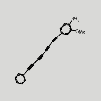 COc1cc(C#CC#CC#CC#Cc2ccccc2)ccc1N